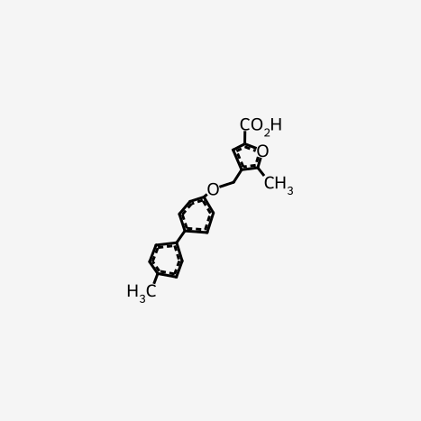 Cc1ccc(-c2ccc(OCc3cc(C(=O)O)oc3C)cc2)cc1